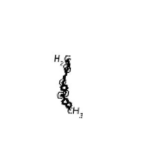 C=C=COOCCCCOc1ccc(OC(=O)c2ccc3cc(C)ccc3c2)cc1